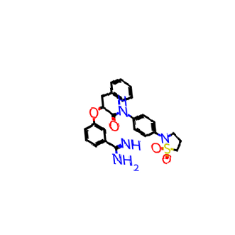 N=C(N)c1cccc(OC(Cc2ccccc2)C(=O)Nc2ccc(N3CCCS3(=O)=O)cc2)c1